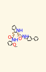 CCOc1ccccc1NC(=O)CSc1c(SCC(=O)NCc2ccc(-c3ccccc3)cc2)[nH]c2ccccc12